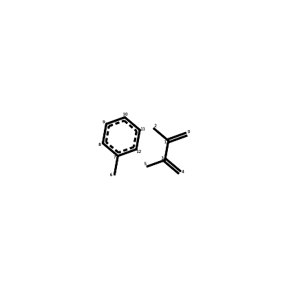 C=C(C)C(=C)C.Cc1ccccc1